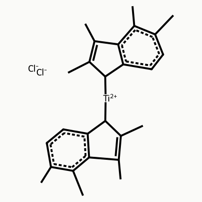 CC1=C(C)[CH]([Ti+2][CH]2C(C)=C(C)c3c2ccc(C)c3C)c2ccc(C)c(C)c21.[Cl-].[Cl-]